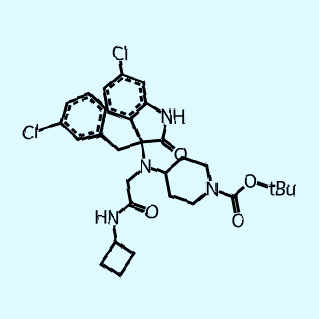 CC(C)(C)OC(=O)N1CCC(N(CC(=O)NC2CCC2)C2(Cc3cccc(Cl)c3)C(=O)Nc3cc(Cl)ccc32)CC1